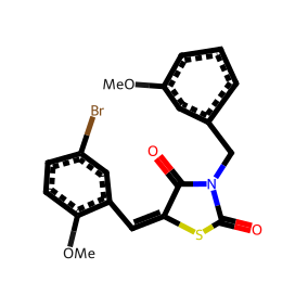 COc1cccc(CN2C(=O)SC(=Cc3cc(Br)ccc3OC)C2=O)c1